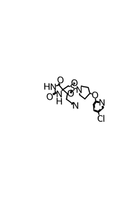 N#CCCC1(CS(=O)(=O)N2CCC(Oc3ccc(Cl)cn3)CC2)NC(=O)NC1=O